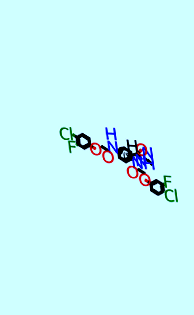 Cc1noc([C@H]2CC3(NC(=O)COc4ccc(Cl)c(F)c4)CCC2(NC(=O)COc2ccc(Cl)c(F)c2)CC3)n1